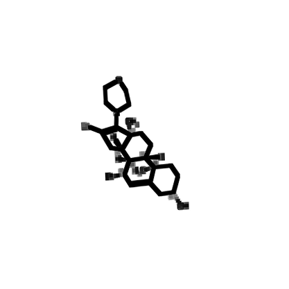 CCC1=C(N2CCOCC2)[C@@]2(C)CC[C@H]3[C@@H]([C@@H](CC)C=C4C[C@@H](O)CC[C@@]43C)[C@@H]2C1